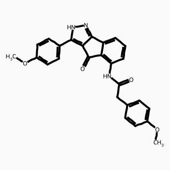 COc1ccc(CC(=O)Nc2cccc3c2C(=O)c2c-3n[nH]c2-c2ccc(OC)cc2)cc1